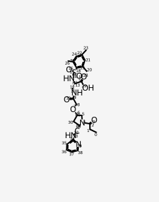 CCC(=O)N1C[C@H](OCC(=O)NC[C@H](NS(=O)(=O)c2c(C)cc(C)cc2C)C(=O)O)C[C@H]1CNc1ccccn1